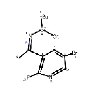 C/C(=N/[S+]([O-])C(C)(C)C)c1cc(Br)cnc1F